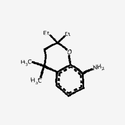 CCC1(CC)CC(C)(C)c2cccc(N)c2O1